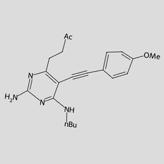 CCCCNc1nc(N)nc(CCC(C)=O)c1C#Cc1ccc(OC)cc1